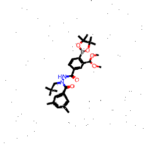 COC(OC)c1cc(C(=O)NN(CC(C)(C)C)C(=O)c2cc(C)cc(C)c2)ccc1B1OC(C)(C)C(C)(C)O1